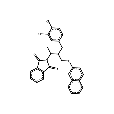 CC(C(COc1ccc2ccccc2c1)Cc1ccc(Cl)c(Cl)c1)N1C(=O)c2ccccc2C1=O